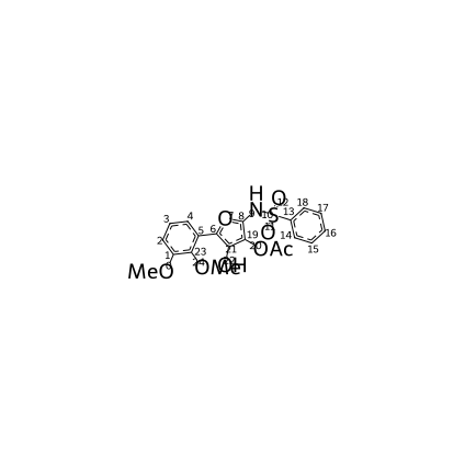 COc1cccc(-c2oc(NS(=O)(=O)c3ccccc3)c(OC(C)=O)c2O)c1OC